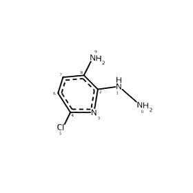 NNc1nc(Cl)ccc1N